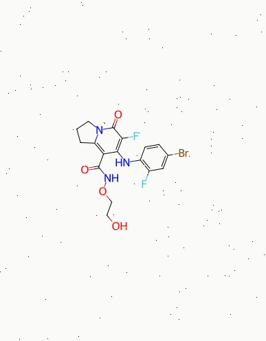 O=C(NOCCO)c1c(Nc2ccc(Br)cc2F)c(F)c(=O)n2c1CCC2